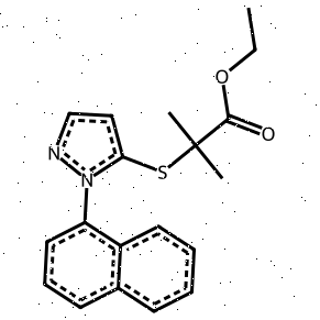 CCOC(=O)C(C)(C)Sc1ccnn1-c1cccc2ccccc12